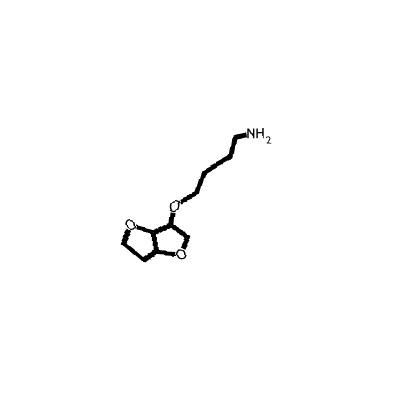 NCCCCOC1COC2CCOC21